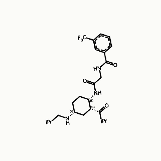 CC(C)CN[C@@H]1CC[C@H](NC(=O)CNC(=O)c2cccc(C(F)(F)F)c2)[C@H](C(=O)C(C)C)C1